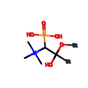 CCOC(O)(CC)C([N+](C)(C)C)P(=O)(O)O